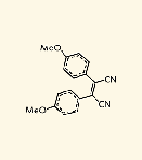 COc1ccc(C(C#N)=C(C#N)c2ccc(OC)cc2)cc1